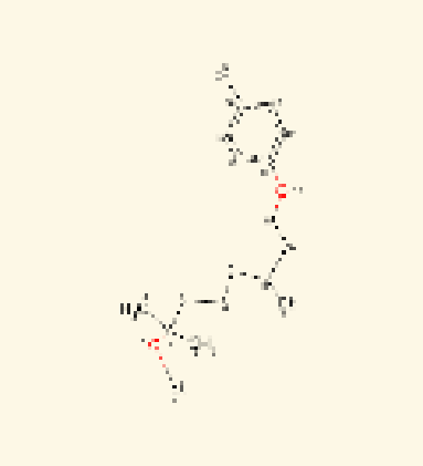 CCOC(C)(C)CCCC(CC)CCOc1ccc(CC)cc1